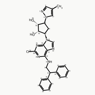 Cc1cnn(C2C[C@@H](n3cnc4c(NCC(c5ccccc5)c5ccccc5)nc(Cl)nc43)[C@H](O)[C@@H]2O)c1